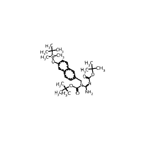 CC(C)(C)OC(=O)/N=C(/N)N(Cc1ccc2cc(O[Si](C)(C)C(C)(C)C)ccc2c1)C(=O)OC(C)(C)C